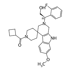 COc1ccc2c3c([nH]c2c1)CN([C@@H](CO)c1ccccc1F)CC31CCN(C(=O)C2CCC2)CC1